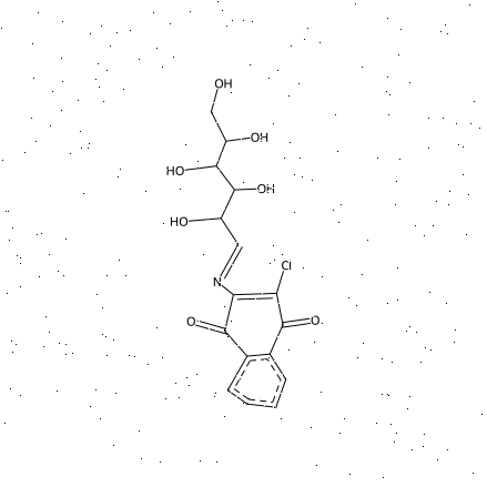 O=C1C(Cl)=C(N=CC(O)C(O)C(O)C(O)CO)C(=O)c2ccccc21